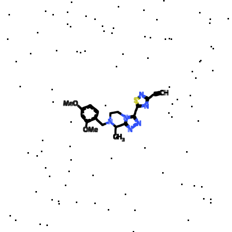 C#Cc1nsc(-c2nnc3n2CCN(Cc2ccc(OC)cc2OC)C3C)n1